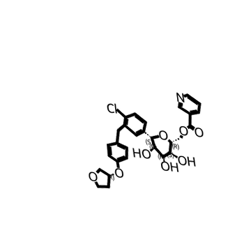 O=C(OC[C@H]1O[C@@H](c2ccc(Cl)c(Cc3ccc(O[C@@H]4CCOC4)cc3)c2)[C@H](O)[C@@H](O)[C@@H]1O)c1cccnc1